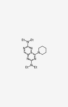 CCN(CC)c1nc(N2CCCCC2)c2nc(N(CC)CC)ncc2n1